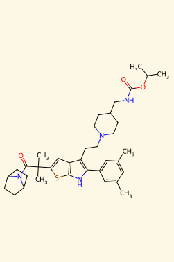 Cc1cc(C)cc(-c2[nH]c3sc(C(C)(C)C(=O)N4C5CCC4CC5)cc3c2CCN2CCC(CNC(=O)OC(C)C)CC2)c1